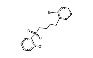 O=S(=O)(CCCCc1ccccc1Br)c1cccc[n+]1[O-]